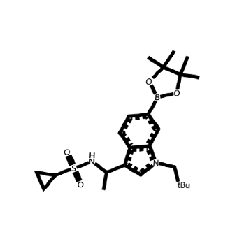 CC(NS(=O)(=O)C1CC1)c1cn(CC(C)(C)C)c2cc(B3OC(C)(C)C(C)(C)O3)ccc12